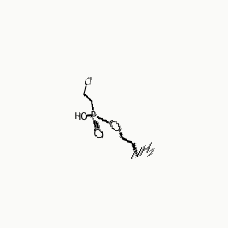 NCCOP(=O)(O)CCCl